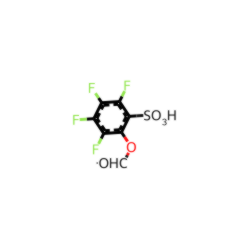 O=[C]Oc1c(F)c(F)c(F)c(F)c1S(=O)(=O)O